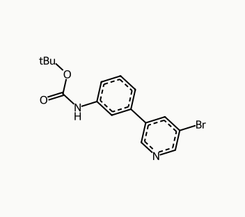 CC(C)(C)OC(=O)Nc1cccc(-c2cncc(Br)c2)c1